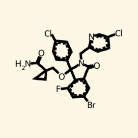 NC(=O)C1(COC2(c3ccc(Cl)cc3)c3c(F)cc(Br)cc3C(=O)N2Cc2ccc(Cl)cn2)CC1